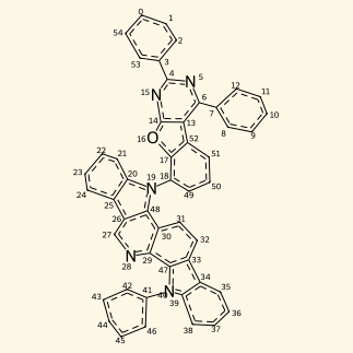 c1ccc(-c2nc(-c3ccccc3)c3c(n2)oc2c(-n4c5ccccc5c5cnc6c(ccc7c8ccccc8n(-c8ccccc8)c76)c54)cccc23)cc1